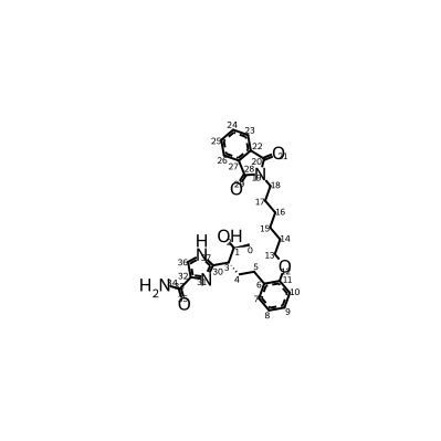 C[C@H](O)[C@H](CCc1ccccc1OCCCCCCN1C(=O)c2ccccc2C1=O)c1nc(C(N)=O)c[nH]1